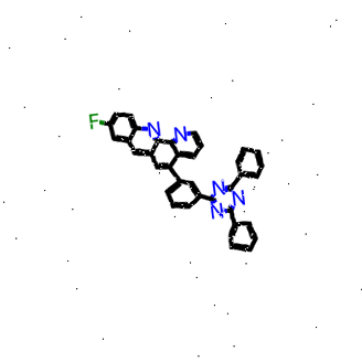 Fc1ccc2nc3c(cc(-c4cccc(-c5nc(-c6ccccc6)nc(-c6ccccc6)n5)c4)c4cccnc43)cc2c1